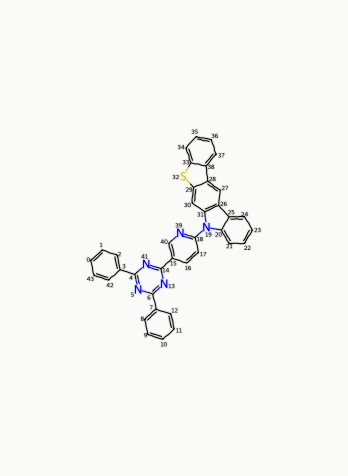 c1ccc(-c2nc(-c3ccccc3)nc(-c3ccc(-n4c5ccccc5c5cc6c(cc54)sc4ccccc46)nc3)n2)cc1